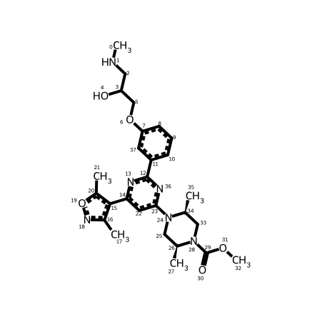 CNCC(O)COc1cccc(-c2nc(-c3c(C)noc3C)cc(N3C[C@H](C)N(C(=O)OC)C[C@@H]3C)n2)c1